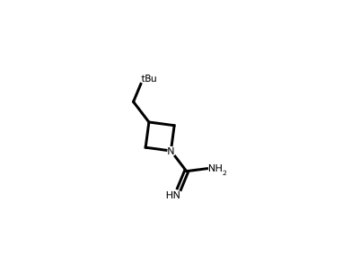 CC(C)(C)CC1CN(C(=N)N)C1